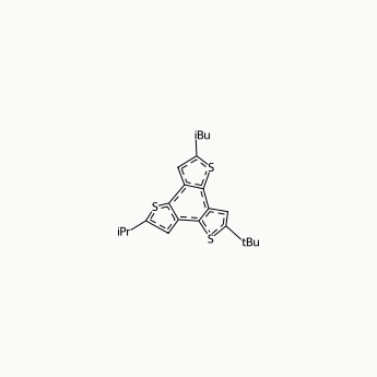 CCC(C)c1cc2c3sc(C(C)C)cc3c3sc(C(C)(C)C)cc3c2s1